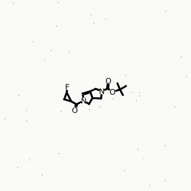 CC(C)(C)OC(=O)N1CC2=CN(C(=O)C3CC3F)CC2C1